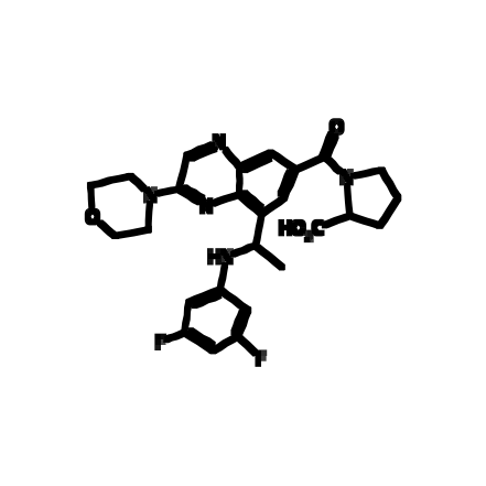 CC(Nc1cc(F)cc(F)c1)c1cc(C(=O)N2CCCC2C(=O)O)cc2ncc(N3CCOCC3)nc12